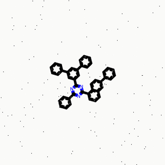 c1ccc(-c2cc(-c3ccccc3)cc(-c3nc(-c4ccccc4)nc(-c4cccc5cc(-c6ccccc6)ccc45)n3)c2)cc1